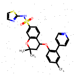 CC1(C)CC(Oc2ccc(C(F)(F)F)cc2-c2ccncc2)c2ccc(S(=O)(=O)Nc3nccs3)cc2O1